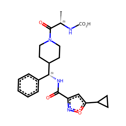 C[C@H](NC(=O)O)C(=O)N1CCC([C@H](NC(=O)c2cc(C3CC3)on2)c2ccccc2)CC1